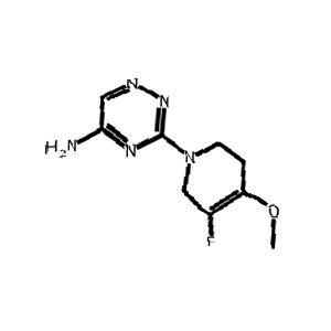 COC1=C(F)CN(c2nncc(N)n2)CC1